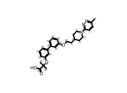 Cc1ccc(N2CCC(CCOc3cccc(-c4cccc(OC(C)(C)C(=O)O)c4)c3)CC2)nn1